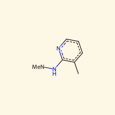 CNNc1ncccc1C